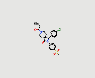 CC(C)(C)CC(=O)N1CCC2(CC1)C(=O)N(c1ccc(S(C)(=O)=O)cc1)C2c1ccc(Cl)cc1